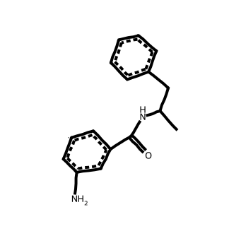 CC(Cc1ccccc1)NC(=O)c1c[c]cc(N)c1